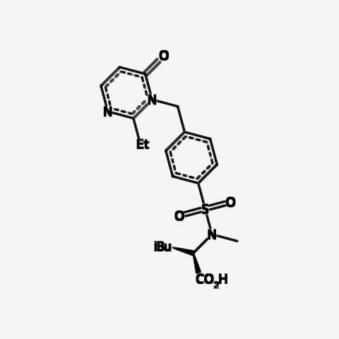 CCc1nccc(=O)n1Cc1ccc(S(=O)(=O)N(C)[C@@H](C(=O)O)[C@H](C)CC)cc1